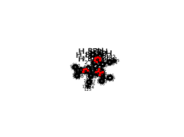 Bc1c(B)c(B)c2c(c1B)c1c(B)c(B)c(B)c(B)c1n2-c1ccc2c(c1)C(c1c(-c3ccccc3)cc(-c3ccc(C(C)(C)C)cc3)cc1-c1ccccc1)c1cc(-c3ccc4c(c3)c3ccccc3n4-c3ccccc3)cc3c1B2c1ccc(-c2cc4c5ccccc5n5c6ccccc6c(c2)c45)cc1N3c1c(-c2ccccc2)cc(-c2ccc(C(C)(C)C)cc2)cc1-c1ccccc1